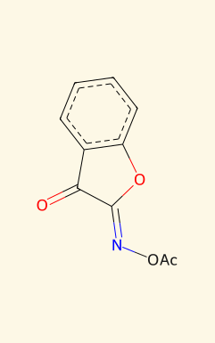 CC(=O)O/N=C1\Oc2ccccc2C1=O